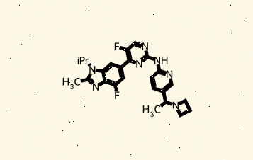 Cc1nc2c(F)cc(-c3nc(Nc4ccc(C(C)N5CCC5)cn4)ncc3F)cc2n1C(C)C